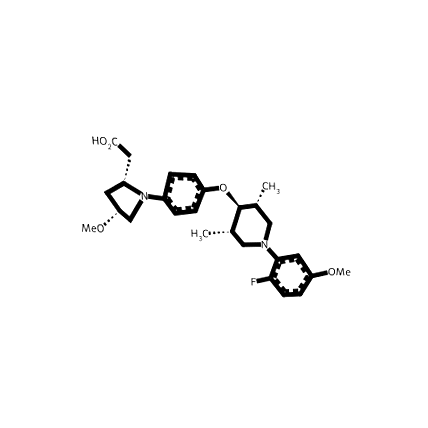 COc1ccc(F)c(N2C[C@@H](C)[C@H](Oc3ccc(N4C[C@H](OC)C[C@@H]4CC(=O)O)cc3)[C@@H](C)C2)c1